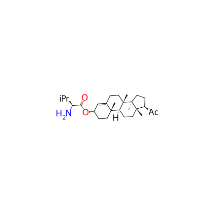 CC(=O)[C@@H]1CC[C@]2(C)[C@@]3(C)CCC4=C[C@H](OC(=O)[C@@H](N)C(C)C)CC[C@@]4(C)[C@@H]3CC[C@@]12C